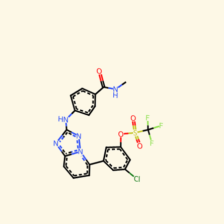 CNC(=O)c1ccc(Nc2nc3cccc(-c4cc(Cl)cc(OS(=O)(=O)C(F)(F)F)c4)n3n2)cc1